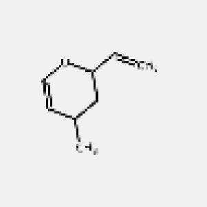 C=CC1CC(C)C=CO1